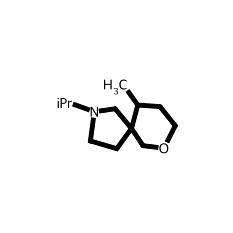 CC(C)N1CCC2(COCCC2C)C1